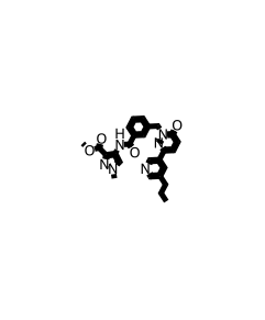 CCCc1cncc(-c2ccc(=O)n(Cc3cccc(C(=O)Nc4cn(C)nc4C(=O)OC)c3)n2)c1